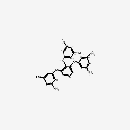 Nc1cc(N)cc(Oc2cccc(Oc3cc(N)cc(N)c3)c2Oc2cc(N)cc(N)c2)c1